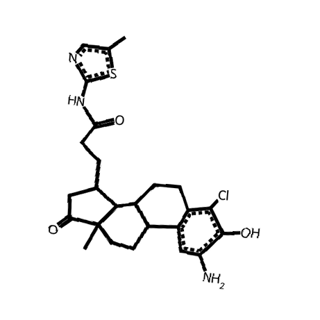 Cc1cnc(NC(=O)CCC2CC(=O)C3(C)CCC4c5cc(N)c(O)c(Cl)c5CCC4C23)s1